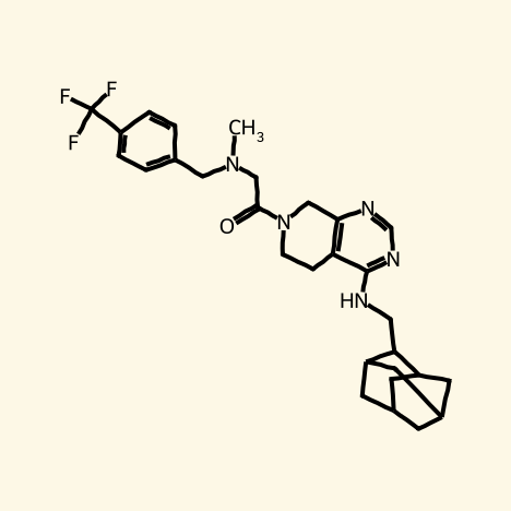 CN(CC(=O)N1CCc2c(ncnc2NCC2C3CC4CC(C3)CC2C4)C1)Cc1ccc(C(F)(F)F)cc1